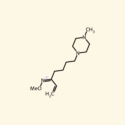 C=C/C(CCCCN1CCN(C)CC1)=N\OC